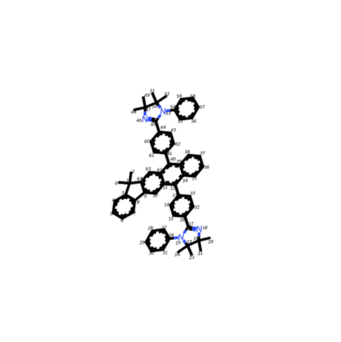 CC1(C)c2ccccc2-c2cc3c(-c4ccc(C5=NC(C)(C)C(C)(C)N5c5ccccc5)cc4)c4ccccc4c(-c4ccc(C5=NC(C)(C)C(C)(C)N5c5ccccc5)cc4)c3cc21